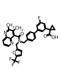 Cc1nc2cccnc2c(C(=O)N(Cc2ccc(-c3cc(F)cc(C4(C(=O)O)CC4)c3)cc2)Cc2ccc(C(F)(F)F)o2)c1C